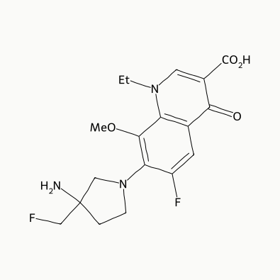 CCn1cc(C(=O)O)c(=O)c2cc(F)c(N3CCC(N)(CF)C3)c(OC)c21